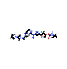 CC1(NC(=O)O[C@H]2CO[C@@H](c3cc(Nc4nccc5nc(CN6CC(n7cccn7)C6)cn45)n[nH]3)[C@H]2F)CC1